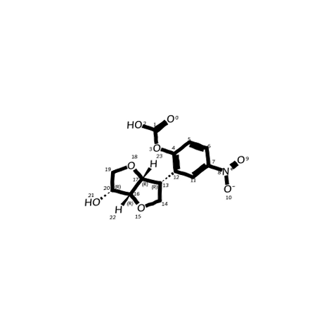 O=C(O)Oc1ccc([N+](=O)[O-])cc1[C@@H]1CO[C@H]2[C@@H]1OC[C@H]2O